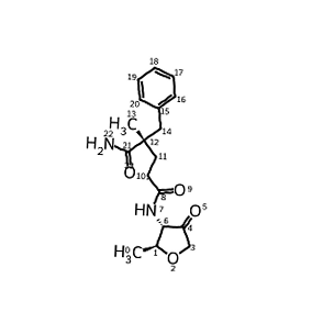 C[C@@H]1OCC(=O)[C@H]1NC(=O)[CH]C[C@@](C)(Cc1ccccc1)C(N)=O